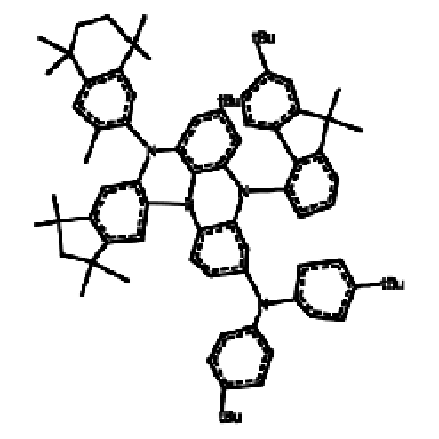 Cc1cc2c(cc1N1c3cc4c(cc3B3c5ccc(N(c6ccc(C(C)(C)C)cc6)c6ccc(C(C)(C)C)cc6)cc5N(c5cccc6c5-c5ccc(C(C)(C)C)cc5C6(C)C)c5cc(C(C)(C)C)cc1c53)C(C)(C)CC4(C)C)C(C)(C)CCC2(C)C